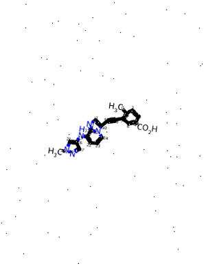 Cc1ccc(C(=O)O)cc1C#Cc1cnc2c(Nc3cnn(C)c3)cccn12